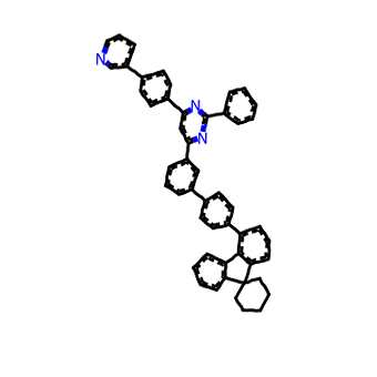 c1ccc(-c2nc(-c3ccc(-c4cccnc4)cc3)cc(-c3cccc(-c4ccc(-c5cccc6c5-c5ccccc5C65CCCCC5)cc4)c3)n2)cc1